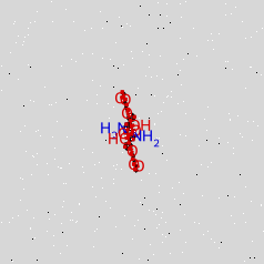 C=CC(=O)OCCCCOc1cccc(-c2cc(N)c3c(c2O)C(=O)c2c(N)cc(-c4cccc(OCCCCOC(=O)C=C)c4)c(O)c2C3=O)c1